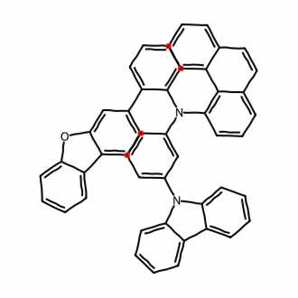 c1cc(N(c2ccccc2-c2ccc3c(c2)oc2ccccc23)c2cccc3ccc4ccccc4c23)cc(-n2c3ccccc3c3ccccc32)c1